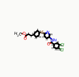 COC(=O)CCc1ccc(Sc2ccc(NC(=O)c3ccc(Cl)c(Cl)c3)cn2)cc1